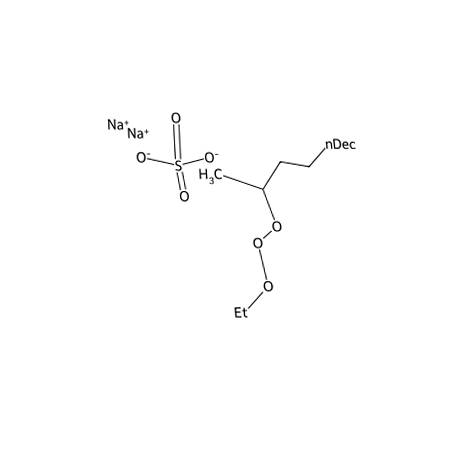 CCCCCCCCCCCCC(C)OOOCC.O=S(=O)([O-])[O-].[Na+].[Na+]